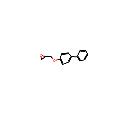 c1ccc(-c2ccc(OCC3CO3)cc2)cc1